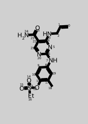 C=CCNc1nc(Nc2ccc(OS(=O)(=O)CC)c(C)c2)ncc1C(N)=O